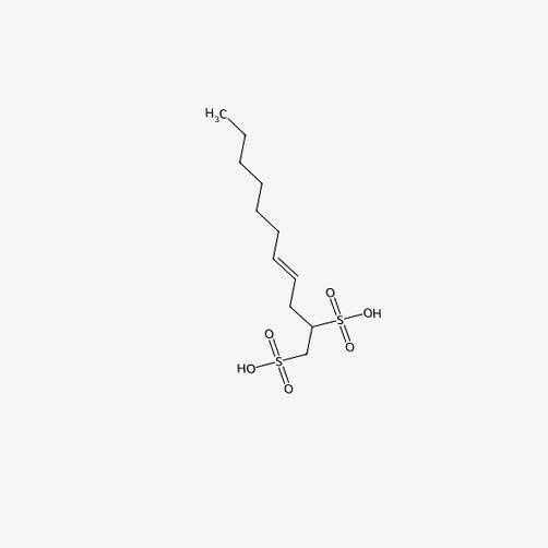 CCCCCCC=CCC(CS(=O)(=O)O)S(=O)(=O)O